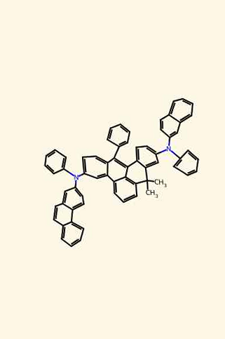 CC1(C)c2cc(N(c3ccccc3)c3ccc4ccccc4c3)ccc2-c2c(-c3ccccc3)c3ccc(N(c4ccccc4)c4ccc5c(ccc6ccccc65)c4)cc3c3cccc1c23